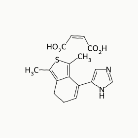 Cc1sc(C)c2c1CCC=C2c1cnc[nH]1.O=C(O)/C=C\C(=O)O